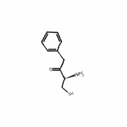 N[C@@H](CS)C(=O)[CH]c1ccccc1